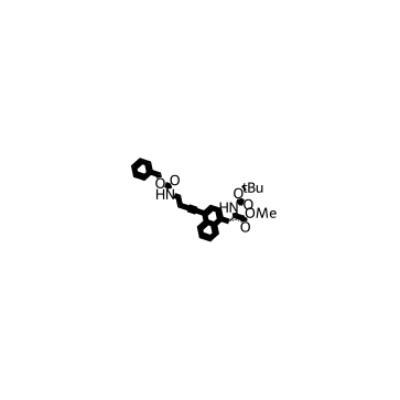 COC(=O)[C@H](Cc1ccc(C#CCCNC(=O)OCc2ccccc2)c2ccccc12)NC(=O)OC(C)(C)C